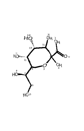 O=C(O)C1(O)OC([C@H](O)CO)[C@H](O)[C@H](O)C1O